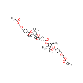 C=CC(=O)OCCOCC1CCC(C(=O)Oc2c(C)cc(OC(=O)C3CCC(C(=O)Oc4cc(C)c(OC(=O)C5CCC(COCCOC(=O)C=C)CC5)c(C)c4C)CC3)c(C)c2C)CC1